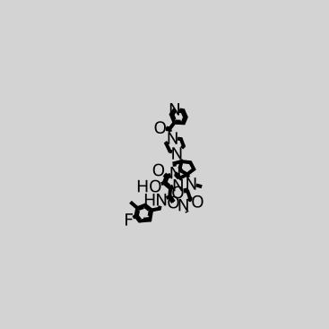 Cc1cc(CNC(=O)c2nc3n(c(=O)c2O)CC2(N4CCN(C(=O)c5cccnc5)CC4)CCC3(N(C)C(=O)C(=O)N(C)C)CC2)ccc1F